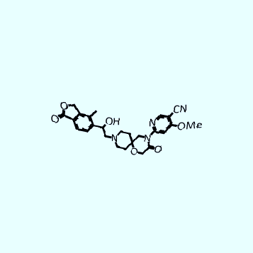 COc1cc(N2CC3(CCN(CC(O)c4ccc5c(c4C)COC5=O)CC3)OCC2=O)ncc1C#N